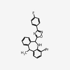 CC(C)c1cccc2c1NC(c1nc(-c3ccc(F)cc3)no1)c1ccccc1C2C